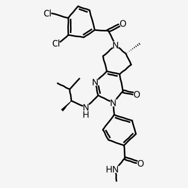 CNC(=O)c1ccc(-n2c(N[C@@H](C)C(C)C)nc3c(c2=O)C[C@@H](C)N(C(=O)c2ccc(Cl)c(Cl)c2)C3)cc1